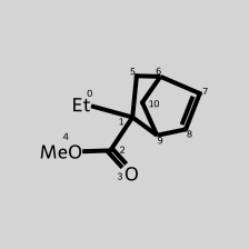 CCC1(C(=O)OC)CC2C=CC1C2